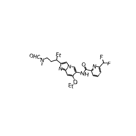 CCOc1cc2nc(C(CC)CCN(C)C=O)cn2cc1NC(=O)c1cccc(C(F)F)n1